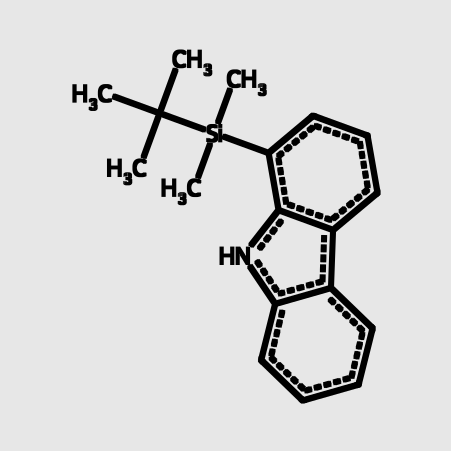 CC(C)(C)[Si](C)(C)c1cccc2c1[nH]c1ccccc12